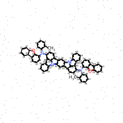 Cc1ccccc1N(c1cccc2c1OC1C=CC=CC21)c1ccc2c3cc4c(cc3n3c5ccccc5c1c23)c1ccc(N(c2ccccc2C)c2cccc3c2oc2ccccc23)c2c3ccccc3n4c12